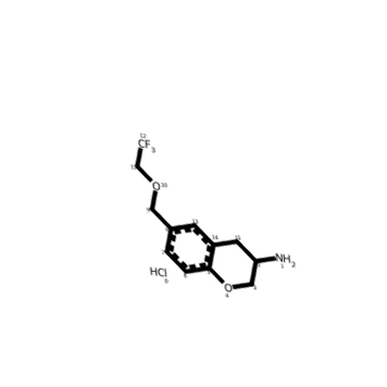 Cl.NC1COc2ccc(COCC(F)(F)F)cc2C1